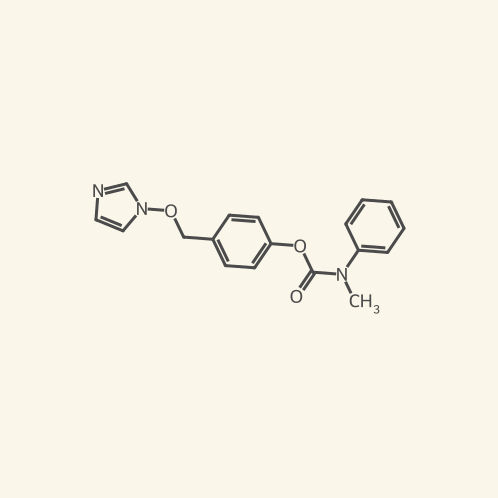 CN(C(=O)Oc1ccc(COn2ccnc2)cc1)c1ccccc1